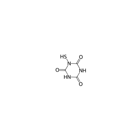 O=c1[nH]c(=O)n(S)c(=O)[nH]1